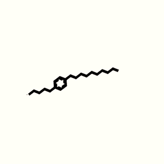 [CH2]CCCCc1ccc(CCCCCCCCCC)cc1